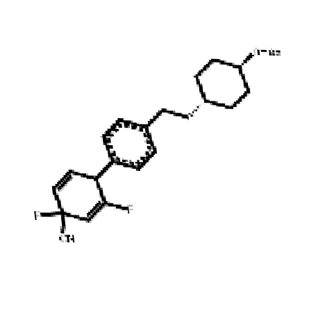 CCCCCC[C@H]1CC[C@H](CCc2ccc(C3C=CC(F)(C#N)C=C3F)cc2)CC1